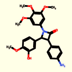 COc1ccc(C2C(c3ccc(N)cc3)C(=O)N2c2cc(OC)c(OC)c(OC)c2)cc1O